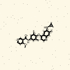 COc1ccncc1C(=O)Nc1cc(F)c(Oc2ccnc3cc(F)c(NC4CC4)cc23)c(F)c1